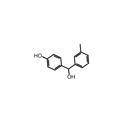 Cc1cccc(C(O)c2ccc(O)cc2)c1